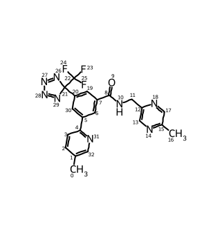 Cc1ccc(-c2cc(C(=O)NCc3cnc(C)cn3)cc(C3(C(F)(F)F)N=NN=N3)c2)nc1